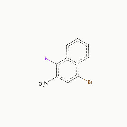 O=[N+]([O-])c1cc(Br)c2ccccc2c1I